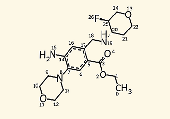 CCOC(=O)c1cc(N2CCOCC2)c(N)cc1CN[C@H]1CCOC[C@@H]1F